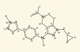 C=C(C)N1CCc2c(c(N(C)c3ccc(-c4cnn(C)c4)cc3)nn2CC2CC2)C1